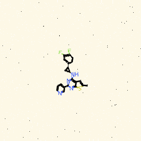 Cc1cc2c(N[C@@H]3C[C@H]3c3ccc(F)c(F)c3)nc(-c3cccnc3)nc2s1